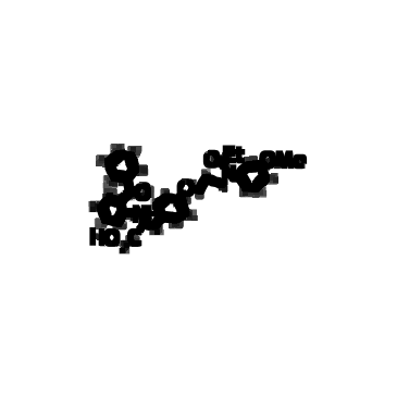 CCC(=O)N(CCCOc1ccc(C[C@H](Nc2ccccc2C(=O)c2ccccc2)C(=O)O)cc1)c1cccc(OC)c1